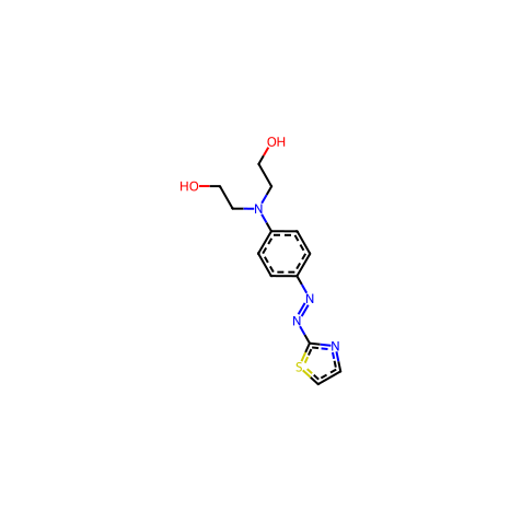 OCCN(CCO)c1ccc(/N=N/c2nccs2)cc1